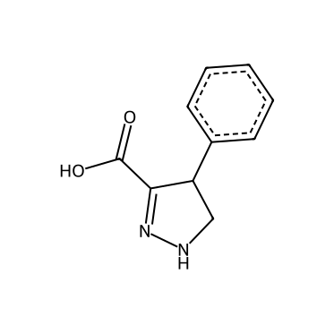 O=C(O)C1=NNCC1c1ccccc1